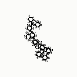 c1ccc(N(c2ccccc2)c2cccc(-c3ccc(-c4ccc5c(c4)Oc4ccc6c(c4O5)-c4ccccc4C64c5ccccc5-c5ccccc54)c4ccccc34)c2)cc1